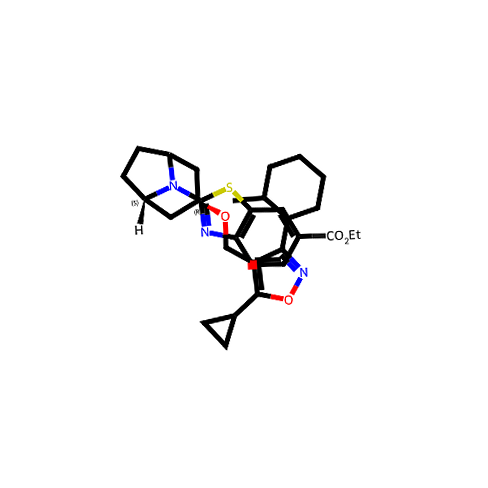 CCOC(=O)c1ccc2nc(N3C4CC[C@H]3C[C@H](OCc3c(C5CCCCC5C)noc3C3CC3)C4)sc2c1